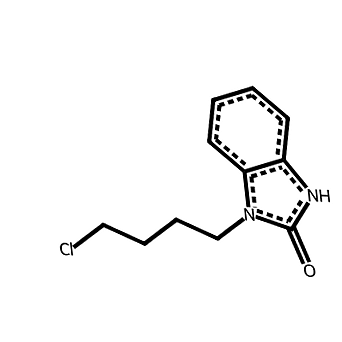 O=c1[nH]c2ccccc2n1CCCCCl